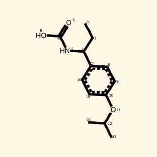 CCC(NC(=O)O)c1ccc(OC(C)C)cc1